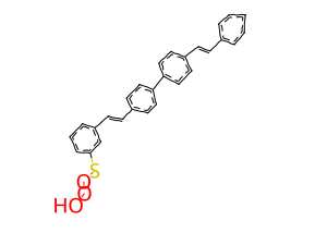 OOOSc1cccc(/C=C/c2ccc(-c3ccc(/C=C/c4ccccc4)cc3)cc2)c1